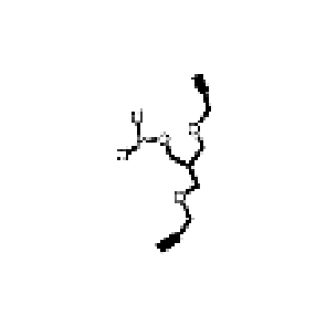 C#CCOCC(COCC#C)COP(Cl)Cl